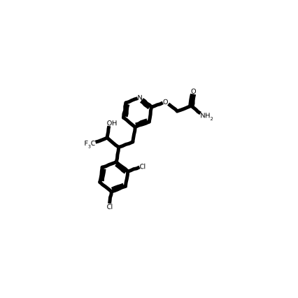 NC(=O)COc1cc(CC(c2ccc(Cl)cc2Cl)C(O)C(F)(F)F)ccn1